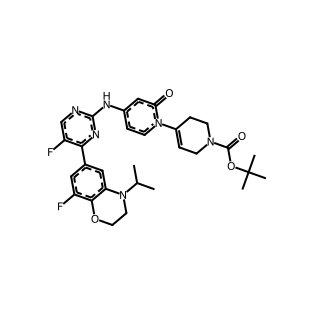 CC(C)N1CCOc2c(F)cc(-c3nc(Nc4ccn(C5=CCN(C(=O)OC(C)(C)C)CC5)c(=O)c4)ncc3F)cc21